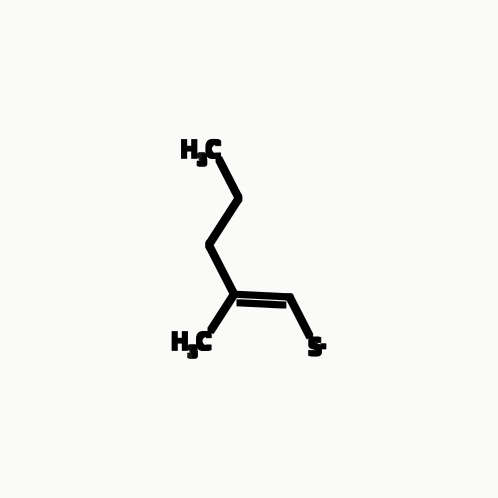 CCCC(C)=C[S]